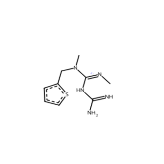 C/N=C(\NC(=N)N)N(C)Cc1cccs1